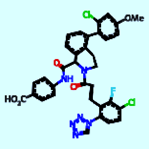 COc1ccc(-c2cccc3c2CCN(C(=O)C=Cc2c(-n4cnnn4)ccc(Cl)c2F)C3C(=O)Nc2ccc(C(=O)O)cc2)c(Cl)c1